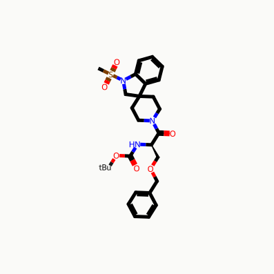 CC(C)(C)OC(=O)N[C@H](COCc1ccccc1)C(=O)N1CCC2(CC1)CN(S(C)(=O)=O)c1ccccc12